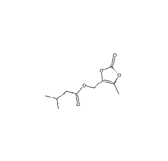 Cc1oc(=O)oc1COC(=O)CC(C)C